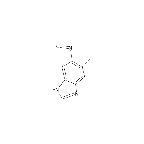 Cc1cc2nc[nH]c2cc1N=O